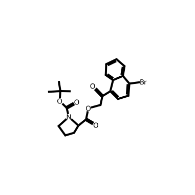 CC(C)(C)OC(=O)N1CCCC1C(=O)OCC(=O)c1ccc(Br)c2ccccc12